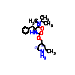 C=C/C=C(\C=C/N)COC(=O)N[C@@H](Cc1ccccc1)C(=O)N(C)C(C)C